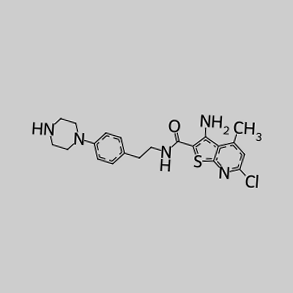 Cc1cc(Cl)nc2sc(C(=O)NCCc3ccc(N4CCNCC4)cc3)c(N)c12